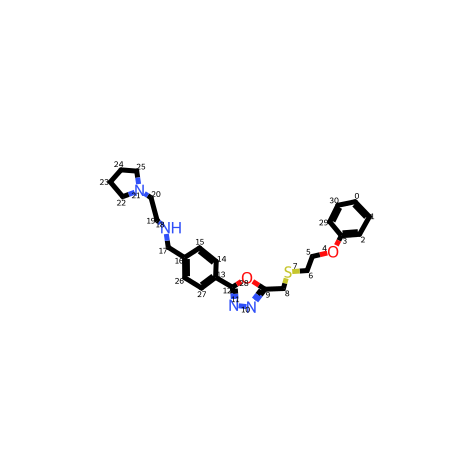 c1ccc(OCCSCc2nnc(-c3ccc(CNCCN4CCCC4)cc3)o2)cc1